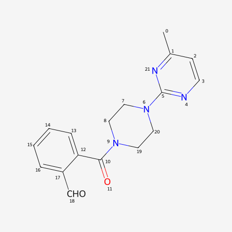 Cc1ccnc(N2CCN(C(=O)c3ccccc3C=O)CC2)n1